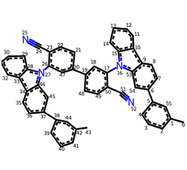 Cc1cccc(-c2ccc3c4ccccc4n(-c4cc(-c5ccc(C#N)c(-n6c7ccccc7c7ccc(-c8cccc(C)c8)cc76)c5)ccc4C#N)c3c2)c1